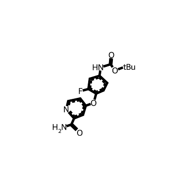 CC(C)(C)OC(=O)Nc1ccc(Oc2ccnc(C(N)=O)c2)c(F)c1